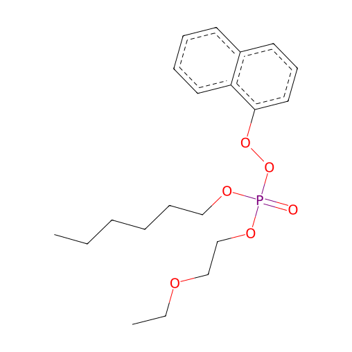 CCCCCCOP(=O)(OCCOCC)OOc1cccc2ccccc12